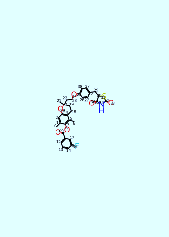 Cc1cc2c(c(C)c1OC(=O)c1cccc(F)c1)CCC(C)(CCOc1ccc(CC3SC(=O)NC3=O)cc1)O2